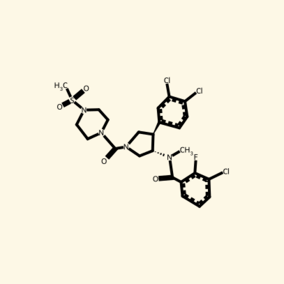 CN(C(=O)c1cccc(Cl)c1F)[C@@H]1CN(C(=O)N2CCN(S(C)(=O)=O)CC2)C[C@H]1c1ccc(Cl)c(Cl)c1